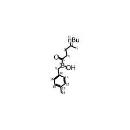 CCCCC(C)CCC(=O)B(O)Cc1ccc(C)cc1